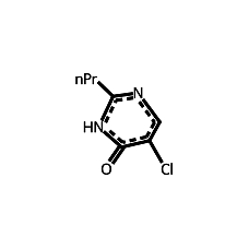 CCCc1ncc(Cl)c(=O)[nH]1